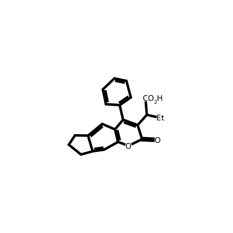 CCC(C(=O)O)c1c(-c2ccccc2)c2cc3c(cc2oc1=O)CCC3